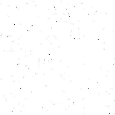 Cc1c(Cl)cccc1C(Cl)(Cl)Cl